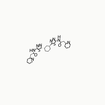 O=C(Cc1ccccn1)Nc1nnc([C@H]2CCC[C@H](c3nnc(NC(=O)Cc4ccccn4)s3)C2)s1